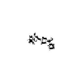 CN(CCN1CCN(C(=O)[C@@H]2CCCO2)CC1)S(=O)(=O)C(C)(C)C